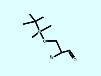 CC(C)(C)[Si](C)(C)OCC(Br)C=O